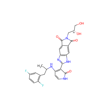 CC(Cc1cc(F)ccc1F)Nc1cc[nH]c(=O)c1-c1nc2cc3c(cc2[nH]1)C(=O)N(C[C@@H](O)CO)C3=O